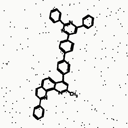 Cc1cc(-c2ccc(-c3ccc(-c4cc(-c5ccccc5)nc(-c5ccccc5)n4)cc3)cc2)c2ccc3ccc(-c4ccccc4)nc3c2n1